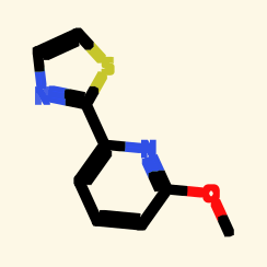 COc1cccc(-c2nccs2)n1